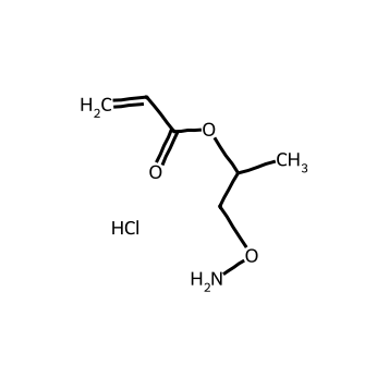 C=CC(=O)OC(C)CON.Cl